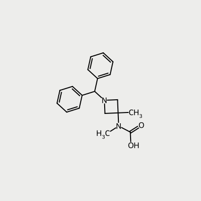 CN(C(=O)O)C1(C)CN(C(c2ccccc2)c2ccccc2)C1